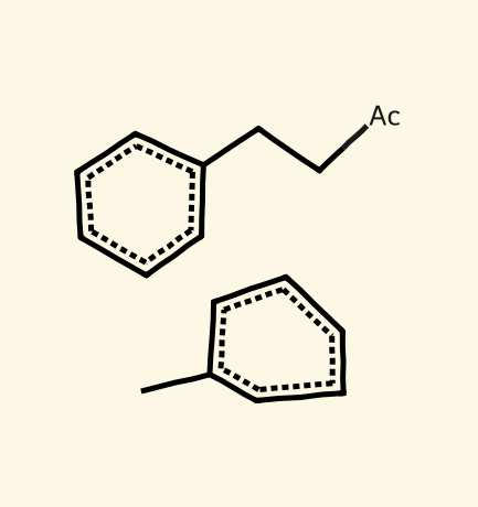 CC(=O)CCc1ccccc1.Cc1ccccc1